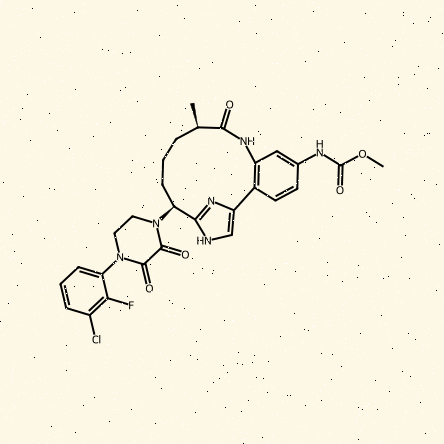 COC(=O)Nc1ccc2c(c1)NC(=O)[C@H](C)CCC[C@H](N1CCN(c3cccc(Cl)c3F)C(=O)C1=O)c1nc-2c[nH]1